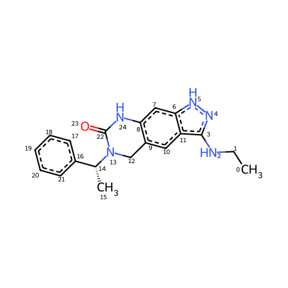 CCNc1n[nH]c2cc3c(cc12)CN([C@H](C)c1ccccc1)C(=O)N3